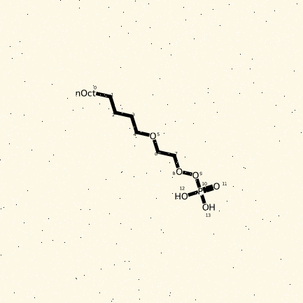 CCCCCCCCCCCCOCCOOP(=O)(O)O